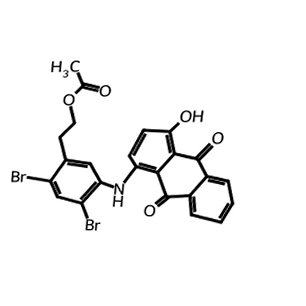 CC(=O)OCCc1cc(Nc2ccc(O)c3c2C(=O)c2ccccc2C3=O)c(Br)cc1Br